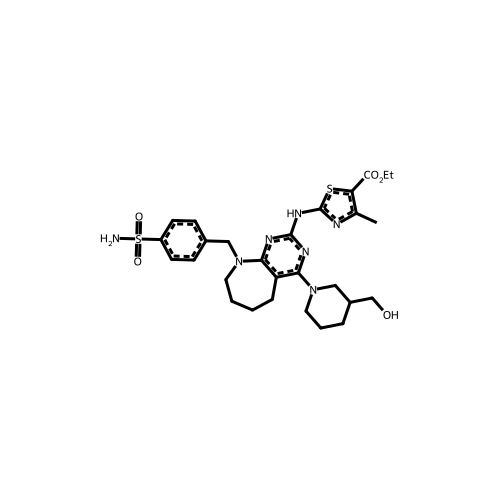 CCOC(=O)c1sc(Nc2nc3c(c(N4CCCC(CO)C4)n2)CCCCN3Cc2ccc(S(N)(=O)=O)cc2)nc1C